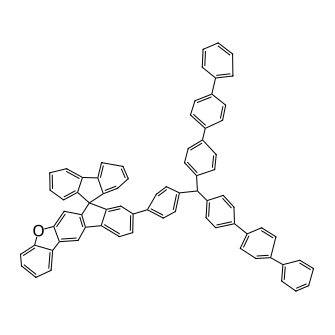 c1ccc(-c2ccc(-c3ccc(C(c4ccc(-c5ccc(-c6ccccc6)cc5)cc4)c4ccc(-c5ccc6c(c5)C5(c7ccccc7-c7ccccc75)c5cc7oc8ccccc8c7cc5-6)cc4)cc3)cc2)cc1